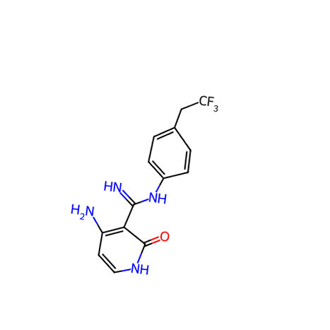 N=C(Nc1ccc(CC(F)(F)F)cc1)c1c(N)cc[nH]c1=O